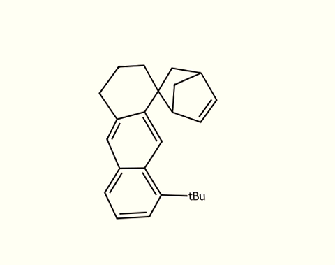 CC(C)(C)c1cccc2cc3c(cc12)C1(CCC3)CC2C=CC1C2